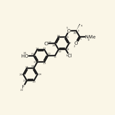 CNC(=O)[C@@H](C)Oc1cc(Cl)c(Cc2ccc(O)c(-c3ccc(F)cc3)c2)c(Cl)c1